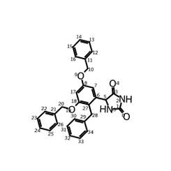 O=C1NC(=O)C(c2cc(OCc3ccccc3)cc(OCc3ccccc3)c2Cc2ccccc2)N1